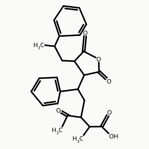 CC(=O)C(CC(c1ccccc1)C1C(=O)OC(=O)C1CC(C)c1ccccc1)C(C)C(=O)O